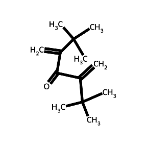 C=C(C(=O)C(=C)C(C)(C)C)C(C)(C)C